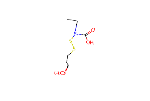 CCN(SSCCO)C(=O)O